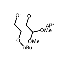 CCCCOCC[O-].COC(C[O-])OC.[Al+2]